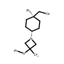 CC(C)OC1(C(F)(F)F)CN([C@H]2CC[C@@](CC#N)(C(C)C)CC2)C1